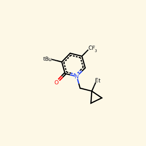 CCC1(Cn2cc(C(F)(F)F)cc(C(C)(C)C)c2=O)CC1